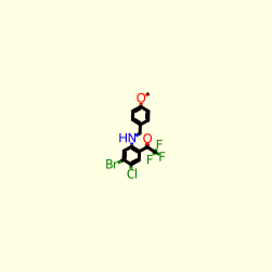 COc1ccc(CNc2cc(Br)c(Cl)cc2C(=O)C(F)(F)F)cc1